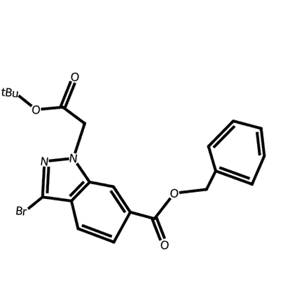 CC(C)(C)OC(=O)Cn1nc(Br)c2ccc(C(=O)OCc3ccccc3)cc21